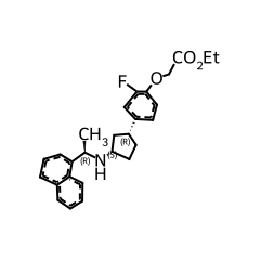 CCOC(=O)COc1ccc([C@@H]2CC[C@H](N[C@H](C)c3cccc4ccccc34)C2)cc1F